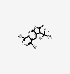 CC(C)(C)C1C(=O)OC(=O)C1CC(CC(=O)O)C(=O)O